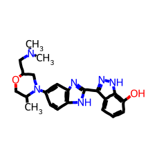 CC1COC(CN(C)C)CN1c1ccc2[nH]c(-c3n[nH]c4c(O)cccc34)nc2c1